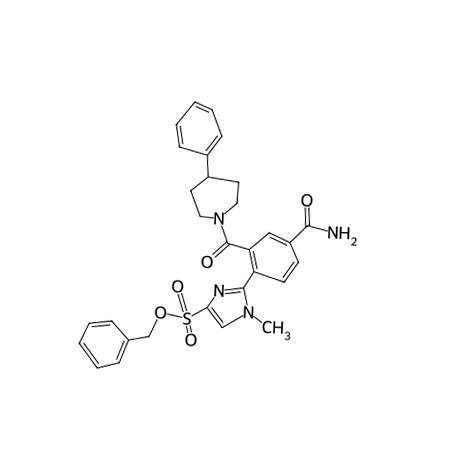 Cn1cc(S(=O)(=O)OCc2ccccc2)nc1-c1ccc(C(N)=O)cc1C(=O)N1CCC(c2ccccc2)CC1